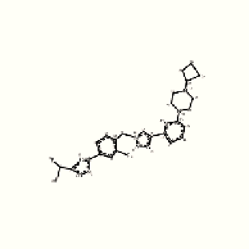 Fc1cc(-c2nnc(C(F)F)o2)ccc1Cn1cc(-c2cccc(N3CCN(C4CCC4)CC3)n2)nn1